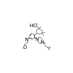 COCCN(C)c1ccc(C2CC(C)(C)CC(C)(C)C2)c(N2CCN(CCC3CC3)CC2)c1.Cl